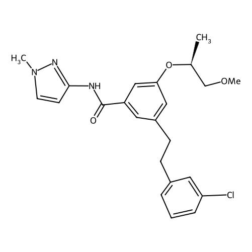 COC[C@H](C)Oc1cc(CCc2cccc(Cl)c2)cc(C(=O)Nc2ccn(C)n2)c1